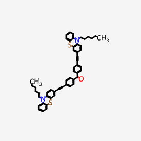 CCCCCCN1c2ccccc2Sc2cc(C#Cc3ccc(C(=O)c4ccc(C#Cc5ccc6c(c5)Sc5ccccc5N6CCCCCC)cc4)cc3)ccc21